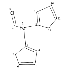 O=[CH][Fe]([C]1=CC=CC1)[C]1=CC=CC1